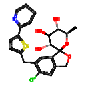 C[C@H]1O[C@]2(OCc3cc(Cl)c(Cc4ccc(-c5ccccn5)s4)cc32)[C@H](O)[C@@H](O)[C@@H]1O